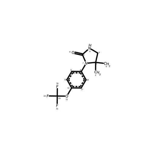 CC1(C)CNC(=O)N1c1ccc(OC(F)(F)F)cc1